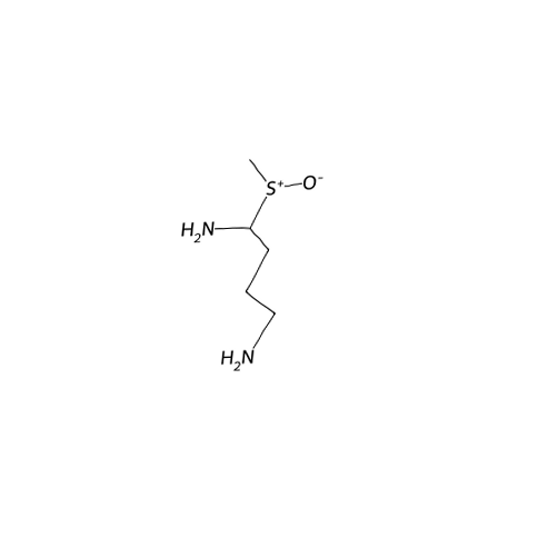 C[S+]([O-])C(N)CCCN